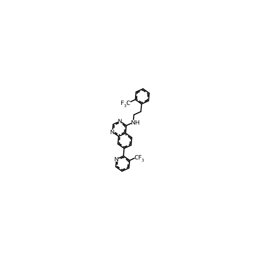 FC(F)(F)c1ccccc1CCNc1ncnc2cc(-c3ncccc3C(F)(F)F)ccc12